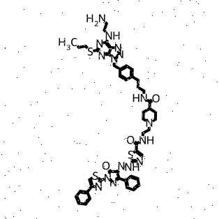 CCCSc1nc(NCCN)c2nnn(Cc3ccc(CCCNC(=O)C4CCN(CCNC(=O)c5cnc(N/N=C6/C(=O)N(c7nc(-c8ccccc8)cs7)N=C6c6ccccc6)s5)CC4)cc3)c2n1